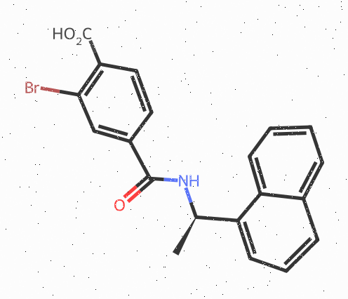 C[C@@H](NC(=O)c1ccc(C(=O)O)c(Br)c1)c1cccc2ccccc12